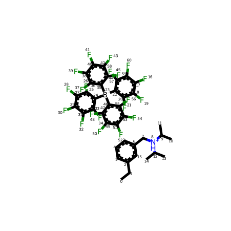 CCc1cccc(C[NH+](C(C)C)C(C)C)c1.Fc1c(F)c(F)c([B-](c2c(F)c(F)c(F)c(F)c2F)(c2c(F)c(F)c(F)c(F)c2F)c2c(F)c(F)c(F)c(F)c2F)c(F)c1F